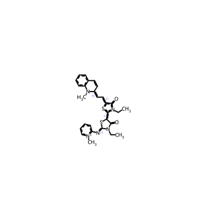 CCN1C(=O)/C(=c2/s/c(=C\C=C3/C=Cc4ccccc4N3C)c(=O)n2CC)S/C1=N\c1cccc[n+]1C